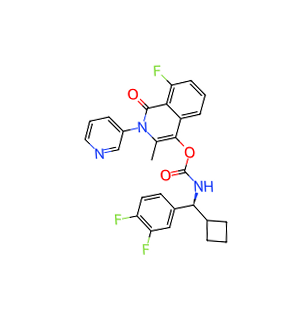 Cc1c(OC(=O)N[C@H](c2ccc(F)c(F)c2)C2CCC2)c2cccc(F)c2c(=O)n1-c1cccnc1